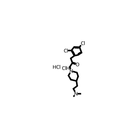 CN(C)CCC1CCN(CC(=O)Cc2ccc(Cl)cc2Cl)CC1.Cl.Cl